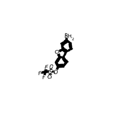 Bc1ccc2c(c1)oc1cc(OS(=O)(=O)C(F)(F)F)ccc12